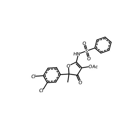 CC(=O)OC1=C(NS(=O)(=O)c2ccccc2)OC(C)(c2ccc(Cl)c(Cl)c2)C1=O